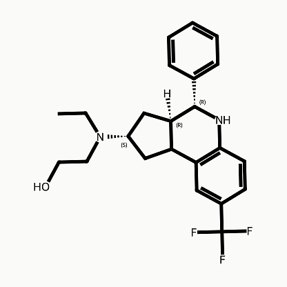 CCN(CCO)[C@H]1CC2c3cc(C(F)(F)F)ccc3N[C@@H](c3ccccc3)[C@@H]2C1